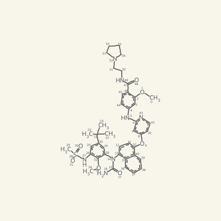 COc1cc(Nc2cc(Oc3ccc(N(C(N)=O)c4cc(C(C)(C)C)cc(NS(C)(=O)=O)c4OC)c4ccccc34)ccn2)ccc1C(=O)NCCN1CCCC1